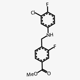 COC(=O)c1ccc(CNc2ccc(F)c(Cl)c2)c(F)c1